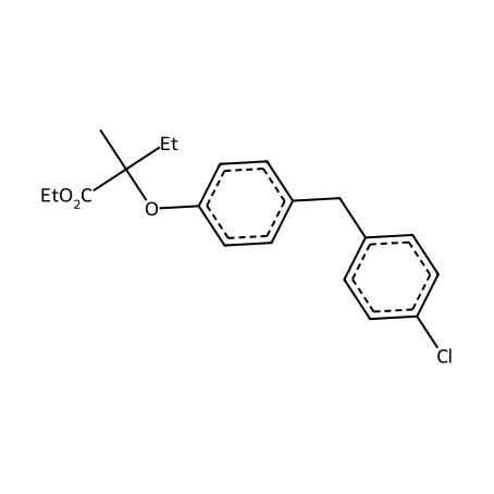 CCOC(=O)C(C)(CC)Oc1ccc(Cc2ccc(Cl)cc2)cc1